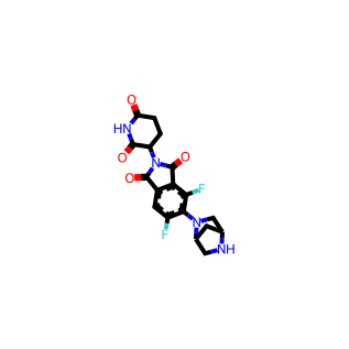 O=C1CCC(N2C(=O)c3cc(F)c(N4CC5CC4CN5)c(F)c3C2=O)C(=O)N1